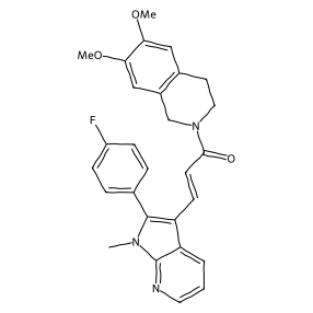 COc1cc2c(cc1OC)CN(C(=O)C=Cc1c(-c3ccc(F)cc3)n(C)c3ncccc13)CC2